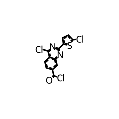 O=C(Cl)c1ccc2c(Cl)nc(-c3ccc(Cl)s3)nc2c1